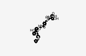 O=C(NCCOc1cccc([C@](O)(C(=O)OCC2CCN(Cc3ccccc3)CC2)c2ccccc2)c1)c1ccc(CCNC[C@H](O)c2ccc(O)c3[nH]c(=O)ccc23)cc1